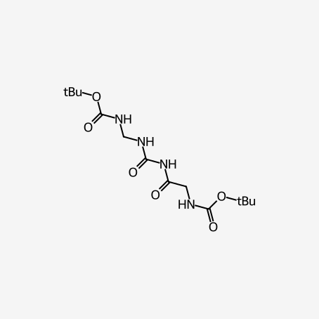 CC(C)(C)OC(=O)NCNC(=O)NC(=O)CNC(=O)OC(C)(C)C